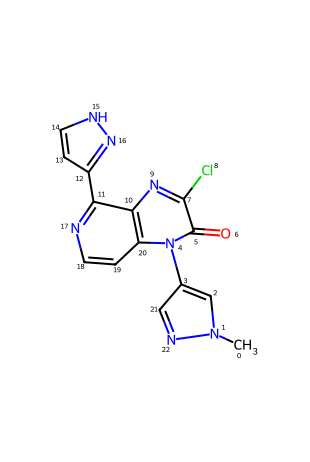 Cn1cc(-n2c(=O)c(Cl)nc3c(-c4cc[nH]n4)nccc32)cn1